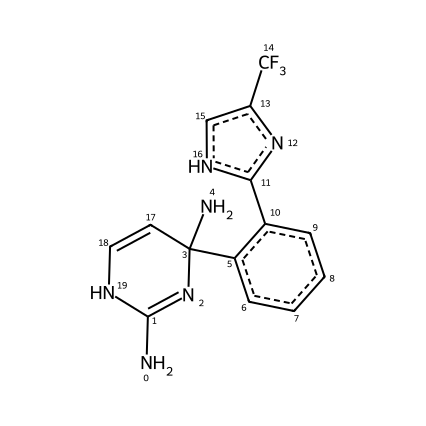 NC1=NC(N)(c2ccccc2-c2nc(C(F)(F)F)c[nH]2)C=CN1